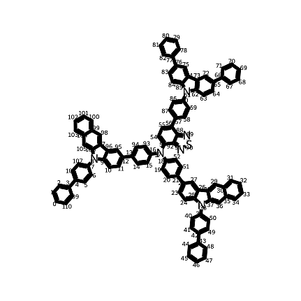 c1ccc(-c2ccc(-n3c4ccc(-c5ccc(N(c6ccc(-c7ccc8c(c7)c7cc9ccccc9cc7n8-c7ccc(-c8ccccc8)cc7)cc6)c6ccc(-c7ccc(-n8c9ccc(-c%10ccccc%10)cc9c9cc(-c%10ccccc%10)ccc98)cc7)c7nsnc67)cc5)cc4c4cc5ccccc5cc43)cc2)cc1